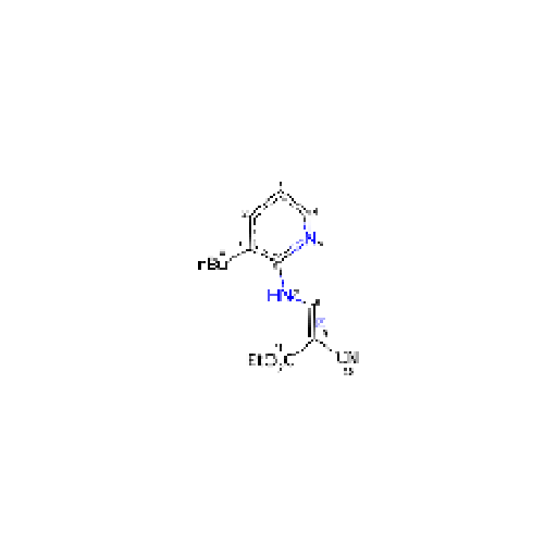 CCCCc1cccnc1N/C=C(/C#N)C(=O)OCC